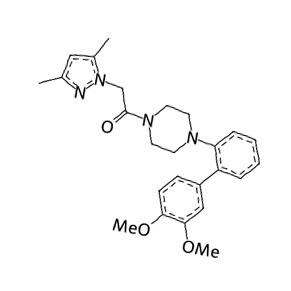 COc1ccc(-c2ccccc2N2CCN(C(=O)Cn3nc(C)cc3C)CC2)cc1OC